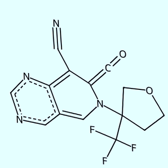 N#CC1=c2ncncc2=CN(C2(C(F)(F)F)CCOC2)C1=C=O